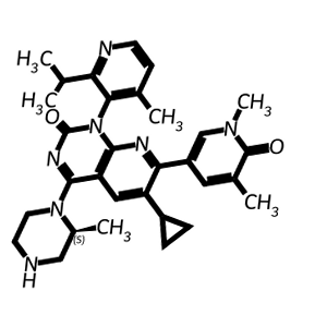 Cc1ccnc(C(C)C)c1-n1c(=O)nc(N2CCNC[C@@H]2C)c2cc(C3CC3)c(-c3cc(C)c(=O)n(C)c3)nc21